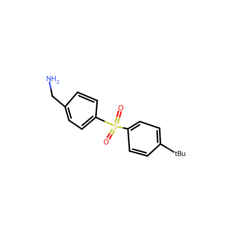 CC(C)(C)c1ccc(S(=O)(=O)c2ccc(CN)cc2)cc1